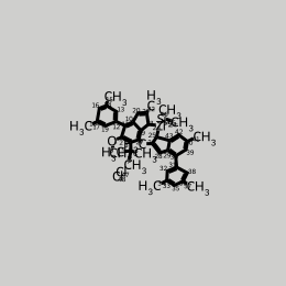 COc1c(C(C)(C)C)cc2c(c1-c1cc(C)cc(C)c1)C=C(C)[CH]2[Zr+2]([CH]1C(C)=Cc2c(-c3cc(C)cc(C)c3)cc(C)cc21)=[Si](C)C.[Cl-].[Cl-]